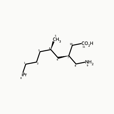 CC(C)CCC[C@@H](C)C[C@H](CN)CC(=O)O